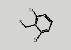 [S]Cc1c(Br)cccc1Br